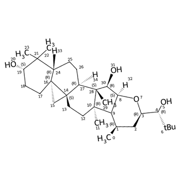 C[C@@H]1C[C@H]([C@H](O)C(C)(C)C)O[C@H]2C1[C@@]1(C)CC[C@@]34C[C@@]35CC[C@H](O)C(C)(C)[C@@H]5CC[C@H]4[C@]1(C)[C@H]2O